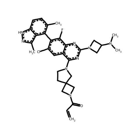 C=CC(=O)N1CC2(CCN(c3nc(N4CC(N(C)C)C4)nc4c(F)c(-c5c(C)ccc6[nH]nc(C)c56)c(Cl)cc34)C2)C1